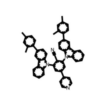 Cc1ccc(-c2ccc3c(c2)c2ccccc2n3-c2cc(-c3ccncc3)cc(-n3c4ccccc4c4cc(-c5ccc(C)cc5C)ccc43)c2C#N)c(C)c1